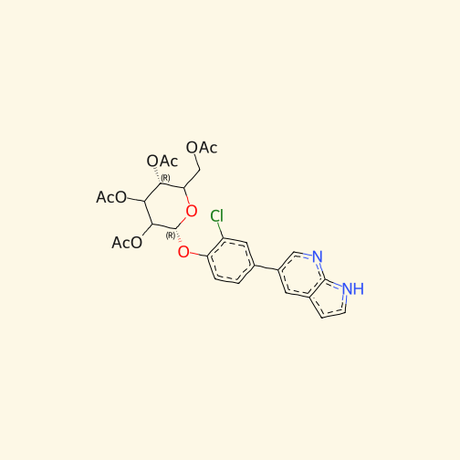 CC(=O)OCC1O[C@H](Oc2ccc(-c3cnc4[nH]ccc4c3)cc2Cl)C(OC(C)=O)C(OC(C)=O)[C@@H]1OC(C)=O